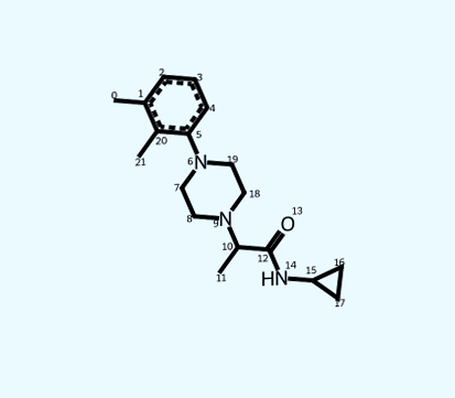 Cc1cccc(N2CCN(C(C)C(=O)NC3CC3)CC2)c1C